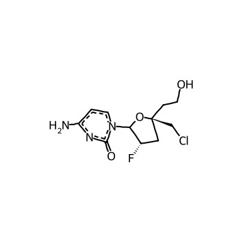 Nc1ccn(C2O[C@](CCl)(CCO)C[C@@H]2F)c(=O)n1